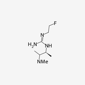 CNC(C)[C@H](C)N/C(N)=N\CCF